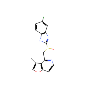 Cc1coc2ccnc(C[S+]([O-])c3nc4cc(Cl)ccc4[nH]3)c12